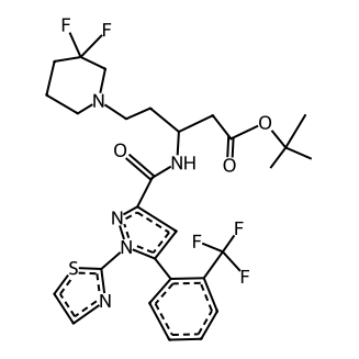 CC(C)(C)OC(=O)CC(CCN1CCCC(F)(F)C1)NC(=O)c1cc(-c2ccccc2C(F)(F)F)n(-c2nccs2)n1